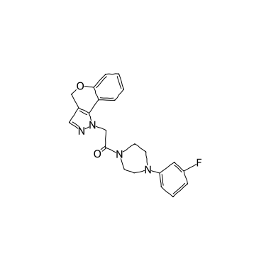 O=C(Cn1ncc2c1-c1ccccc1OC2)N1CCN(c2cccc(F)c2)CC1